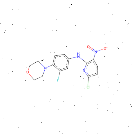 O=[N+]([O-])c1ccc(Cl)nc1Nc1ccc(N2CCOCC2)c(F)c1